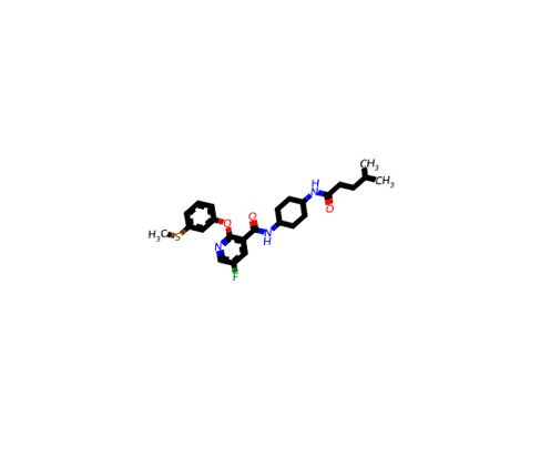 CSc1cccc(Oc2ncc(F)cc2C(=O)NC2CCC(NC(=O)CCC(C)C)CC2)c1